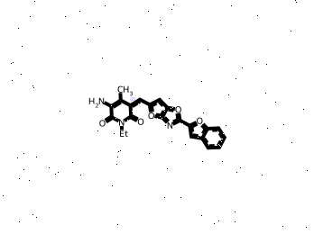 CCN1C(=O)C(N)=C(C)/C(=C/c2cc3oc(-c4cc5ccccc5o4)nc3o2)C1=O